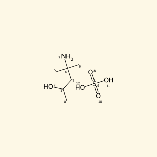 CC(O)CC(C)(C)N.O=S(=O)(O)O